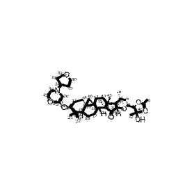 CC(=O)O[C@@H]([C@H]1C[C@@H](C)C2[C@H](O1)C(=O)[C@@]1(C)[C@@H]3CC[C@H]4C(C)(C)[C@@H](O[C@H]5CN(C6CCOCC6)CCO5)CC[C@@]45C[C@@]35CC[C@]21C)C(C)(C)O